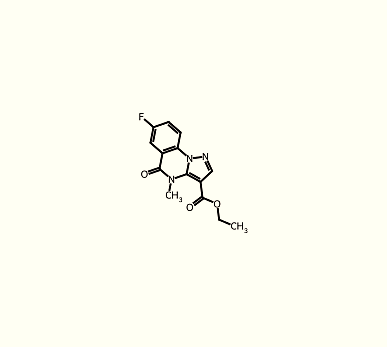 CCOC(=O)c1cnn2c3ccc(F)cc3c(=O)n(C)c12